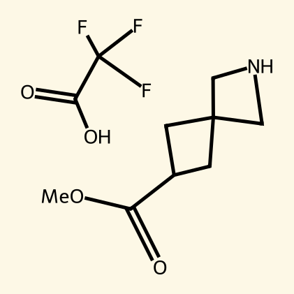 COC(=O)C1CC2(CNC2)C1.O=C(O)C(F)(F)F